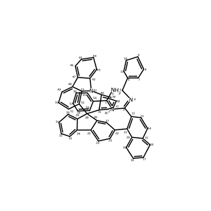 N/C(=N\C(=N/Cc1ccccc1)c1ccc2ccccc2c1-c1ccc2c(c1)C1(c3ccccc3-2)c2ccccc2-n2c3ccccc3c3cccc1c32)c1ccccc1